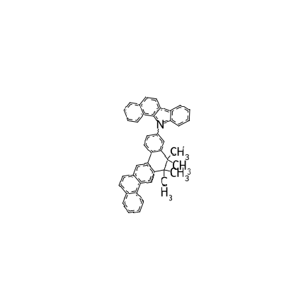 CC1(C)c2cc(-n3c4ccccc4c4ccc5ccccc5c43)ccc2-c2cc3ccc4ccccc4c3cc2C1(C)C